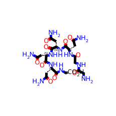 NCC(=O)NCC(=O)N[C@@H](CC(N)=O)C(=O)N[C@@H](CC(N)=O)C(=O)N[C@@H](CC(N)=O)C(=O)N[C@@H](CC(N)=O)C(=O)NCC(=O)O